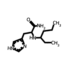 CCCC(CC)NC(Cc1c[nH]cn1)C(N)=O